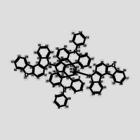 c1ccc(N2c3ccccc3C3(c4ccccc42)c2cc(-n4c5ccccc5c5c6c(ccc54)oc4ccccc46)sc2C2(c4ccccc4N(c4ccccc4)c4ccccc42)c2cc(-n4c5ccccc5c5c6c(ccc54)oc4ccccc46)sc23)cc1